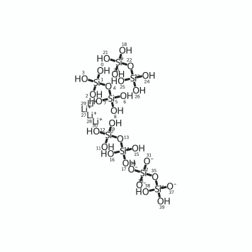 O[Si](O)(O)O[Si](O)(O)O.O[Si](O)(O)O[Si](O)(O)O.O[Si](O)(O)O[Si](O)(O)O.[Li+].[Li+].[Li+].[Li+].[O-][Si]([O-])([O-])O[Si]([O-])(O)O